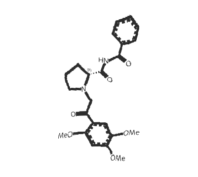 COc1cc(OC)c(C(=O)CN2CCC[C@@H]2C(=O)NC(=O)c2ccccc2)cc1OC